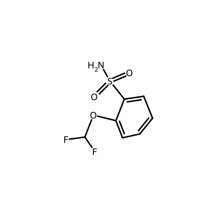 NS(=O)(=O)c1ccccc1OC(F)F